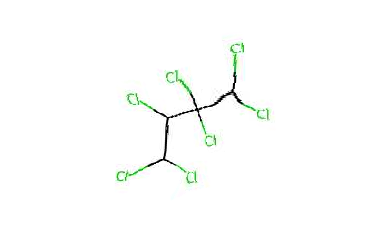 ClC(Cl)C(Cl)C(Cl)(Cl)C(Cl)Cl